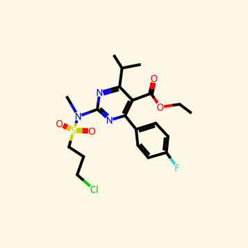 CCOC(=O)c1c(-c2ccc(F)cc2)nc(N(C)S(=O)(=O)CCCCl)nc1C(C)C